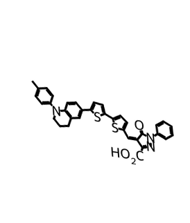 Cc1ccc(N2CCCc3cc(-c4ccc(-c5ccc(/C=C6\C(=O)N(c7ccccc7)N=C6C(=O)O)s5)s4)ccc32)cc1